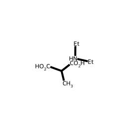 CC(C(=O)O)C(=O)O.CCNCC